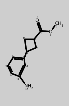 COC(=O)C1CC(c2cccc(N)c2)C1